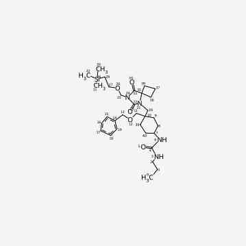 CCCNC(=O)NC1CCC(COCc2ccccc2)(CN2C(=O)N(COCC[Si](C)(C)C)C(=O)C23CCC3)CC1